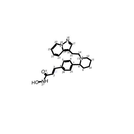 O=C(/C=C/c1ccc(C2CCCCN2CCc2cnn3ccccc23)cc1)NO